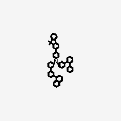 CC1(C)c2ccccc2-c2ccc(-c3ccc(N(c4cccc(-c5cccc(-c6cccc7ccccc67)c5)c4)c4cccc(-c5ccccc5-c5ccccc5)c4)cc3)cc21